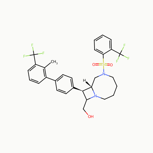 Cc1c(-c2ccc([C@@H]3C(CO)N4CCCCN(S(=O)(=O)c5ccccc5C(F)(F)F)C[C@@H]34)cc2)cccc1C(F)(F)F